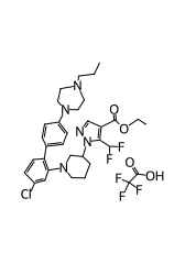 CCCN1CCN(c2ccc(-c3ccc(Cl)cc3N3CCCC(n4ncc(C(=O)OCC)c4C(F)F)C3)cc2)CC1.O=C(O)C(F)(F)F